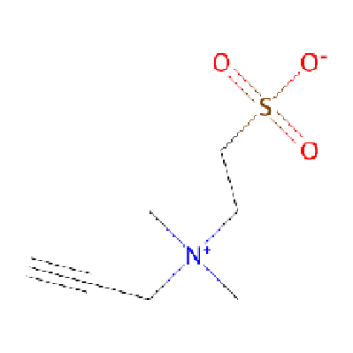 C#CC[N+](C)(C)CCS(=O)(=O)[O-]